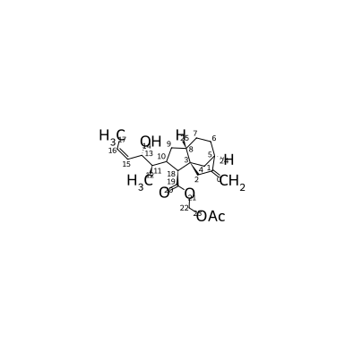 C=C1C[C@]23C[C@H]1CC[C@H]2CC([C@@H](C)[C@@H](O)/C=C\C)[C@@H]3C(=O)OCOC(C)=O